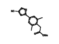 COC(=O)Cc1c(C)cc(-n2cc(C#N)cn2)cc1C